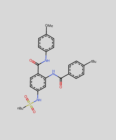 CCCCS(=O)(=O)Nc1ccc(C(=O)Nc2ccc(OC)cc2)c(NC(=O)c2ccc(C(C)(C)C)cc2)c1